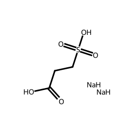 O=C(O)CCS(=O)(=O)O.[NaH].[NaH]